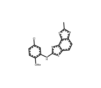 COc1ccc(Cl)cc1Nc1nc2c(ccc3nc(C)sc32)s1